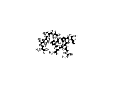 CC[C@H](C)[C@H](NC(=O)[C@@H]1CCCN1C(=O)[C@H](CCCNC(=N)N)NC(=O)[C@H](CCC(N)=O)NC(=O)[C@@H]1CCCN1C(=O)[C@H](C)NC(=O)[C@H](C)NC(=O)[C@H](CO)NC(=O)[C@H](CO)NC(=O)[C@H](CO)NC(=O)[C@@H](N)[C@@H](C)O)C(=O)O